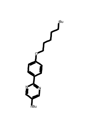 CCCCc1cnc(-c2ccc(OCCCCCC(C)CC)cc2)nc1